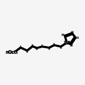 CCCCCCCCCCCCCCCC[SiH]1C=CC=C1